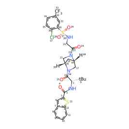 CC(C)(C)[C@H](NC(=O)c1cc2ccccc2s1)C(=O)N1C[C@@H]2C[C@H]1CN2C(=O)CNS(=O)(=O)c1cc(C(F)(F)F)ccc1Cl